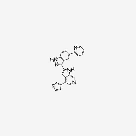 c1ccc(-c2ccc3[nH]nc(-c4cc5c(-c6ccsc6)cncc5[nH]4)c3c2)nc1